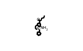 CCCCC(=O)c1cc(N)c2c(c1)CCCN2Cc1ccccc1